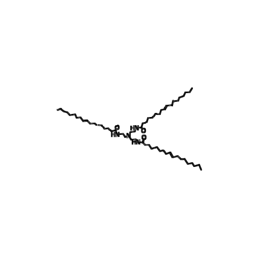 CCCCCCCCC=CCCCCCCCC(=O)NCCN(CCNC(=O)CCCCCCCC=CCCCCCCCC)CCNC(=O)CCCCCCCC=CCCCCCCCC